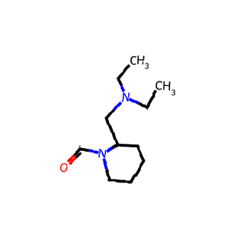 CCN(CC)CC1CCCCN1[C]=O